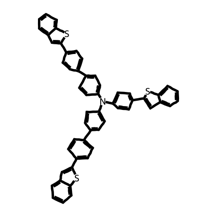 c1ccc2sc(-c3ccc(-c4ccc(N(c5ccc(-c6ccc(-c7cc8ccccc8s7)cc6)cc5)c5ccc(-c6cc7ccccc7s6)cc5)cc4)cc3)cc2c1